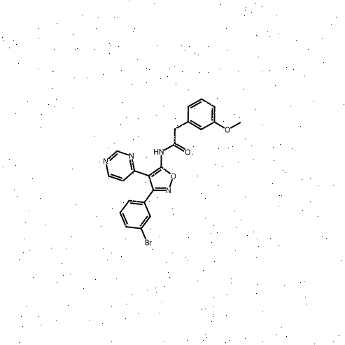 COc1cccc(CC(=O)Nc2onc(-c3cccc(Br)c3)c2-c2ccncn2)c1